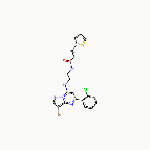 O=C(/C=C/c1cccs1)NCCNc1cc(-c2ccccc2Cl)nc2c(Br)cnn12